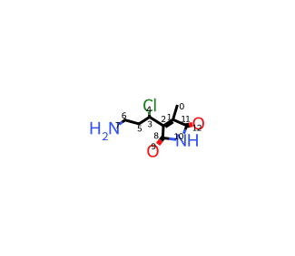 CC1=C(C(Cl)CCN)C(=O)NC1=O